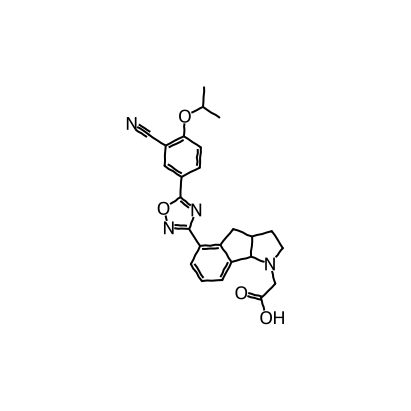 CC(C)Oc1ccc(-c2nc(-c3cccc4c3CC3CCN(CC(=O)O)C43)no2)cc1C#N